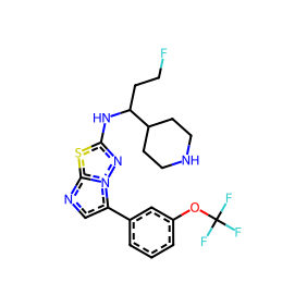 FCCC(Nc1nn2c(-c3cccc(OC(F)(F)F)c3)cnc2s1)C1CCNCC1